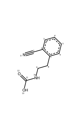 N#Cc1ccccc1CCNC(=O)O